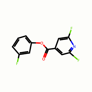 O=C(Oc1cccc(F)c1)c1cc(F)nc(F)c1